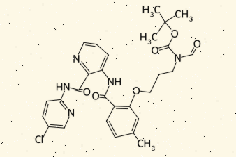 Cc1ccc(C(=O)Nc2cccnc2C(=O)Nc2ccc(Cl)cn2)c(OCCCN(C=O)C(=O)OC(C)(C)C)c1